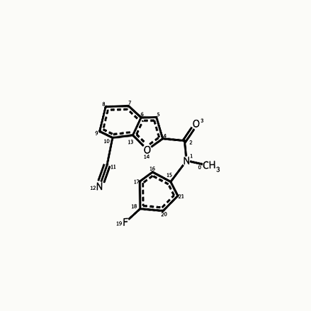 CN(C(=O)c1cc2cccc(C#N)c2o1)c1ccc(F)cc1